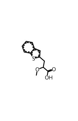 COC(Cc1cc2ccccc2s1)C(=O)O